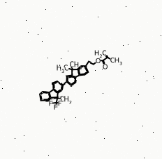 C=C(C)C(=O)OCCc1ccc2c(c1)C(C)(C)c1cc(-c3ccc4c(c3)C(C)(C(F)(F)F)c3ccccc3-4)ccc1-2